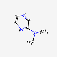 CN(C)C1=[N+]C=CN=C1